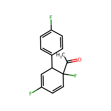 CC(=O)C1(F)C=CC(F)=CC1c1ccc(F)cc1